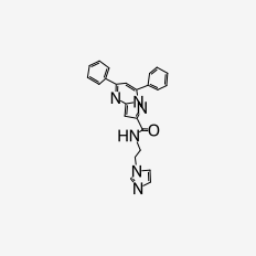 O=C(NCCn1ccnc1)c1cc2nc(-c3ccccc3)cc(-c3ccccc3)n2n1